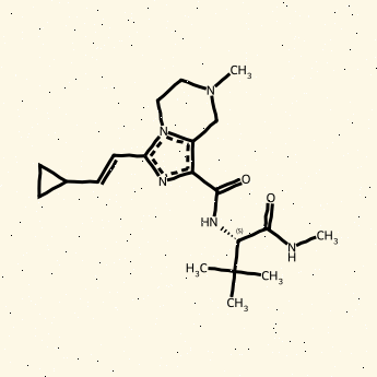 CNC(=O)[C@@H](NC(=O)c1nc(C=CC2CC2)n2c1CN(C)CC2)C(C)(C)C